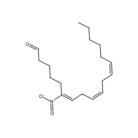 CCCCC/C=C\C/C=C\C/C=C(\CCCC[C]=O)[N+](=O)[O-]